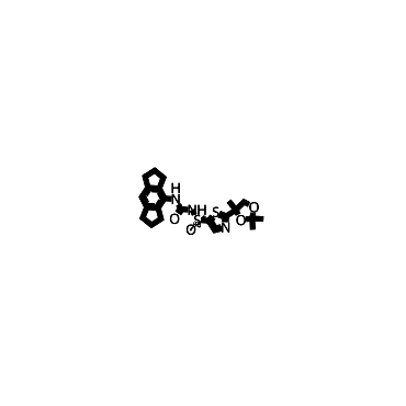 CC1(C)OCC(C)(c2ncc([S@+]([O-])NC(=O)Nc3c4c(cc5c3CCC5)CCC4)s2)O1